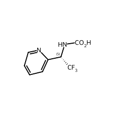 O=C(O)N[C@@H](c1ccccn1)C(F)(F)F